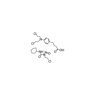 O=C(O)CCCc1ccc(N(CCCl)CCCl)cc1.O=NN(CCCl)C(=O)NC1CCCCC1